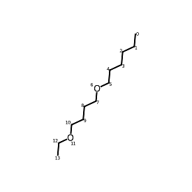 CCCCCCOCCCCOCC